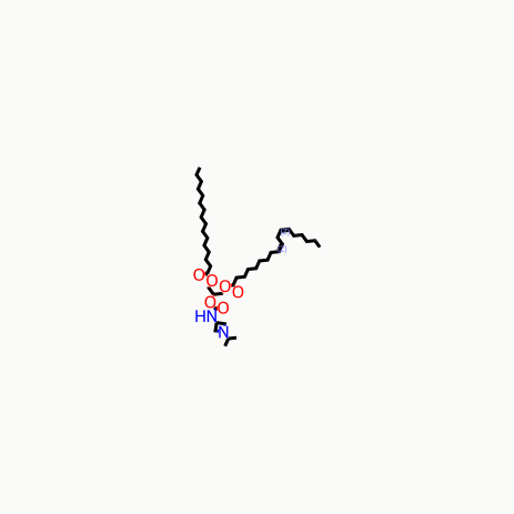 CCCCC/C=C\C/C=C\CCCCCCCC(=O)OCC(COC(=O)CCCCCCCCCCCCCCC)OC(=O)NC1CN(C(C)C)C1